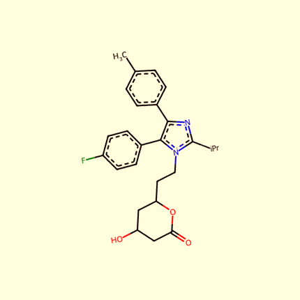 Cc1ccc(-c2nc(C(C)C)n(CCC3CC(O)CC(=O)O3)c2-c2ccc(F)cc2)cc1